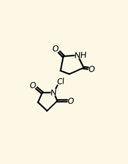 O=C1CCC(=O)N1.O=C1CCC(=O)N1Cl